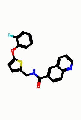 O=C(NCc1ccc(Oc2ccccc2F)s1)c1ccc2ncccc2c1